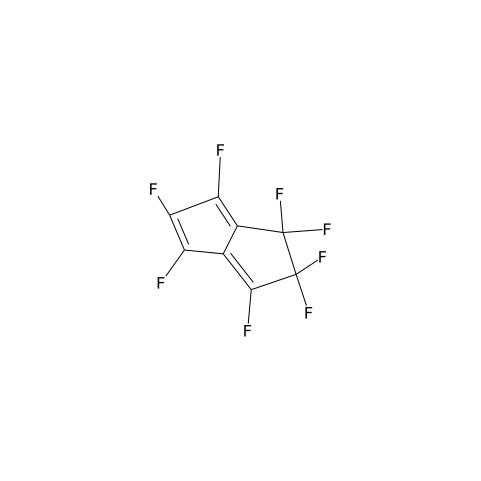 FC1=C(F)C2=C(F)C(F)(F)C(F)(F)C2=C1F